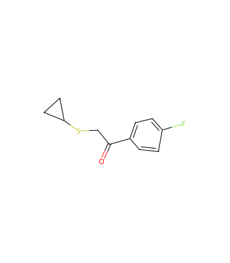 O=C(CSC1CC1)c1ccc(F)cc1